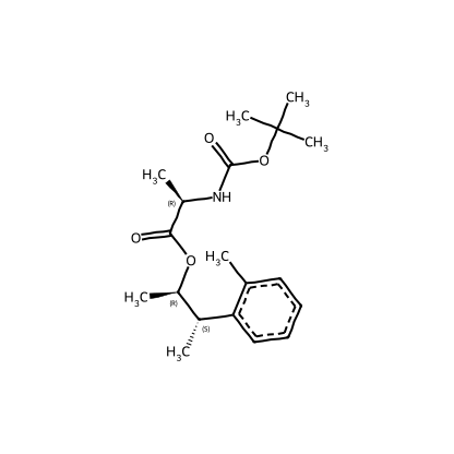 Cc1ccccc1[C@H](C)[C@@H](C)OC(=O)[C@@H](C)NC(=O)OC(C)(C)C